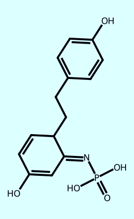 O=P(O)(O)/N=C1\C=C(O)C=CC1CCc1ccc(O)cc1